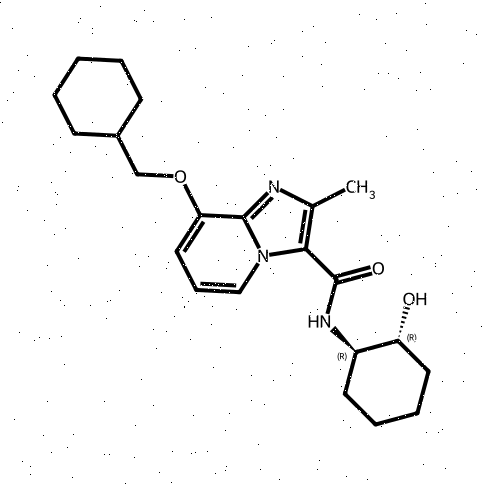 Cc1nc2c(OCC3CCCCC3)cccn2c1C(=O)N[C@@H]1CCCC[C@H]1O